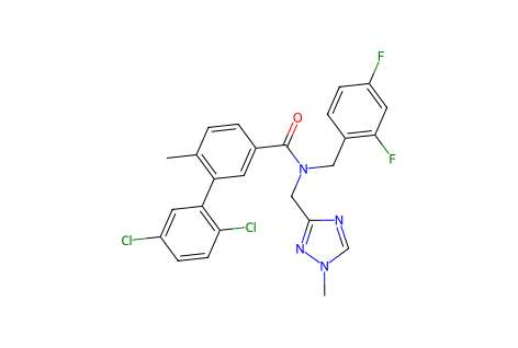 Cc1ccc(C(=O)N(Cc2ncn(C)n2)Cc2ccc(F)cc2F)cc1-c1cc(Cl)ccc1Cl